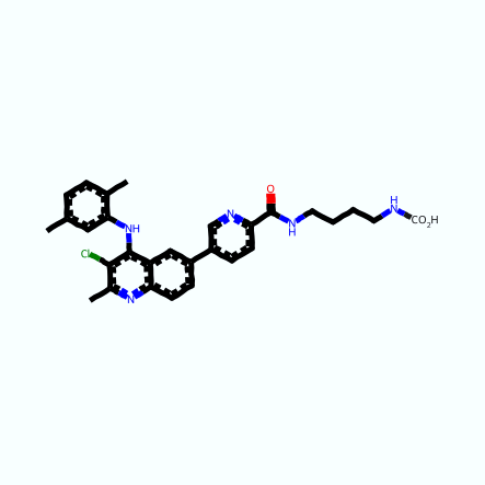 Cc1ccc(C)c(Nc2c(Cl)c(C)nc3ccc(-c4ccc(C(=O)NCCCCNC(=O)O)nc4)cc23)c1